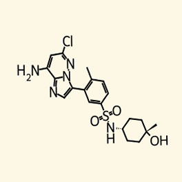 Cc1ccc(S(=O)(=O)N[C@H]2CC[C@@](C)(O)CC2)cc1-c1cnc2c(N)cc(Cl)nn12